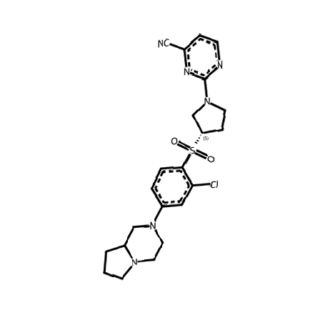 N#Cc1ccnc(N2CC[C@H](S(=O)(=O)c3ccc(N4CCN5CCCC5C4)cc3Cl)C2)n1